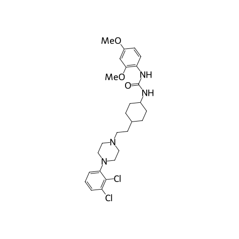 COc1ccc(NC(=O)NC2CCC(CCN3CCN(c4cccc(Cl)c4Cl)CC3)CC2)c(OC)c1